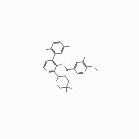 COc1ncc(C(=O)Nc2c(-c3cc(F)ccc3F)ccnc2C2CCC(F)(F)CO2)cc1F